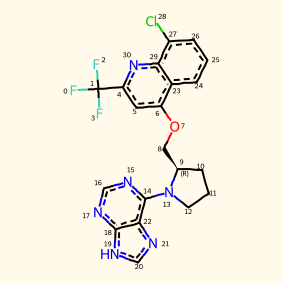 FC(F)(F)c1cc(OC[C@H]2CCCN2c2ncnc3[nH]cnc23)c2cccc(Cl)c2n1